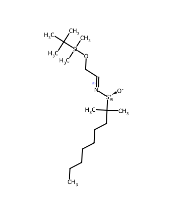 CCCCCCCC(C)(C)[S@+]([O-])/N=C/CO[Si](C)(C)C(C)(C)C